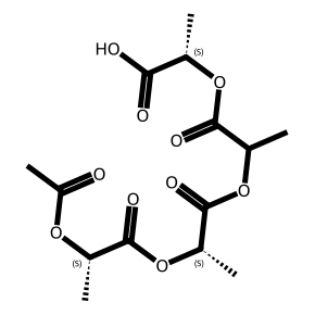 CC(=O)O[C@@H](C)C(=O)O[C@@H](C)C(=O)OC(C)C(=O)O[C@@H](C)C(=O)O